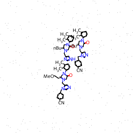 CCCC[C@H]1CN(c2cccc(C)c2C)C(=O)CN1Cc1c[nH]cn1.CCCC[C@H]1CN(c2cccc(C)c2C)C(=O)CN1Cc1cncn1Cc1ccc(C#N)cc1.COCC[C@H]1CN(c2cccc(C)c2C)C(=O)CN1Cc1cncn1Cc1ccc(C#N)cc1